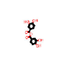 O=C(OC(=O)c1ccc(O)c(O)c1)c1ccc(O)c(O)c1